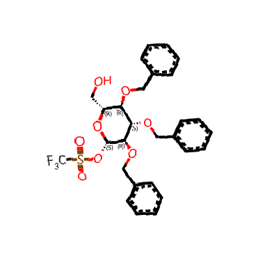 O=S(=O)(O[C@@H]1O[C@H](CO)[C@@H](OCc2ccccc2)[C@H](OCc2ccccc2)[C@H]1OCc1ccccc1)C(F)(F)F